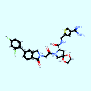 N=C(N)c1csc(CNC(=O)[C@@H]2CC3(CN2C(=O)CN2Cc4cc(-c5ccc(F)cc5F)ccc4C2=O)OCCO3)c1